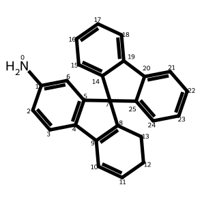 Nc1ccc2c(c1)C1(C3=C2C=CCC3)c2ccccc2-c2ccccc21